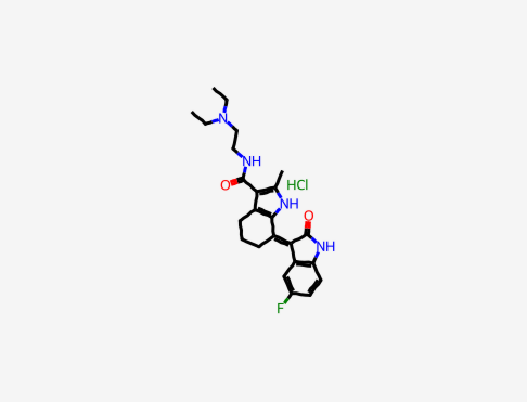 CCN(CC)CCNC(=O)c1c(C)[nH]c2c1CCC/C2=C1/C(=O)Nc2ccc(F)cc21.Cl